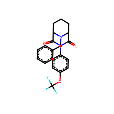 O=C1C2CCCC(C(=O)N1c1ccc(OC(F)(F)F)cc1)N2Cc1ccccc1